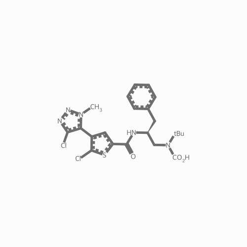 Cn1nnc(Cl)c1-c1cc(C(=O)N[C@@H](Cc2ccccc2)CN(C(=O)O)C(C)(C)C)sc1Cl